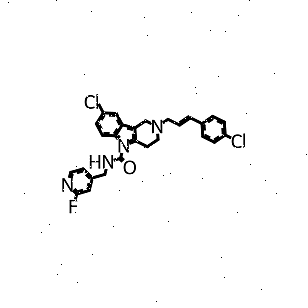 O=C(NCc1ccnc(F)c1)n1c2c(c3cc(Cl)ccc31)CN(CC=Cc1ccc(Cl)cc1)CC2